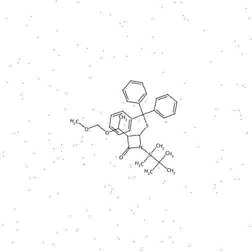 COCOC(C)C1C(=O)N([Si](C)(C)C(C)(C)C)C1SC(c1ccccc1)(c1ccccc1)c1ccccc1